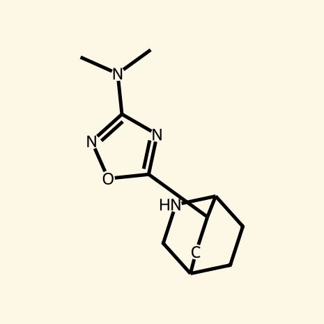 CN(C)c1noc(C2CC3CCC2NC3)n1